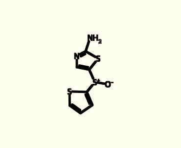 Nc1ncc([S+]([O-])c2cccs2)s1